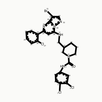 O=C(Nc1ccc(Cl)c(Cl)c1)N1CCCC(CNc2cc(-c3ccccc3Cl)nc3c(Br)cnn23)C1